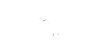 NC(CSCc1cc(O)no1)c1nc[nH]n1